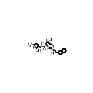 Cc1nc(N)ccc1CNC(=O)[C@@H]1CCc2cnc(NCCc3ccc4ccccc4c3)c(=O)n21.Cl.Cl